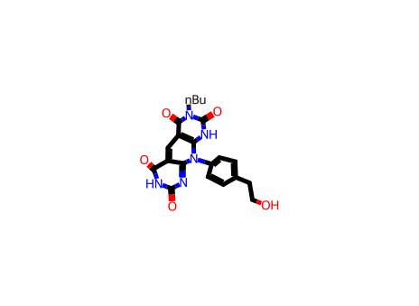 CCCCn1c(=O)[nH]c2c(cc3c(=O)[nH]c(=O)nc-3n2-c2ccc(CCO)cc2)c1=O